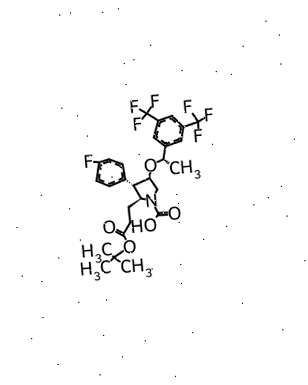 C[C@@H](O[C@H]1CN(C(=O)O)[C@@H](CCC(=O)OC(C)(C)C)[C@@H]1c1ccc(F)cc1)c1cc(C(F)(F)F)cc(C(F)(F)F)c1